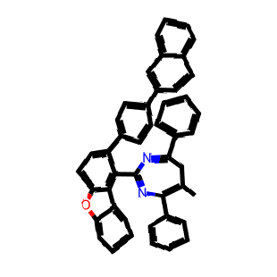 CC1=C(c2ccccc2)N=C(c2c(-c3ccc(-c4ccc5ccccc5c4)cc3)ccc3oc4ccccc4c23)N=C(c2ccccc2)C1